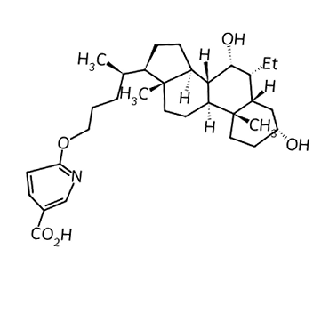 CC[C@H]1[C@@H](O)[C@@H]2[C@H](CC[C@]3(C)[C@@H]([C@H](C)CCCOc4ccc(C(=O)O)cn4)CC[C@@H]23)[C@@]2(C)CC[C@@H](O)C[C@@H]12